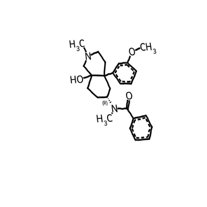 COc1cccc(C23CCN(C)CC2(O)CC[C@@H](N(C)C(=O)c2ccccc2)C3)c1